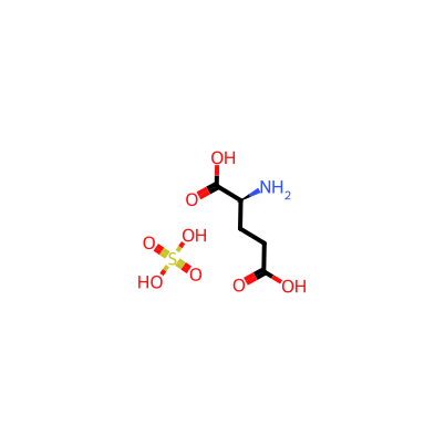 N[C@@H](CCC(=O)O)C(=O)O.O=S(=O)(O)O